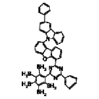 Bc1c(B)c(B)c(-c2nc(-c3ccccc3)nc(-c3cccc4c3oc3cccc(-n5c6ccccc6c6cc(-c7ccccc7)ccc65)c34)n2)c(B)c1B